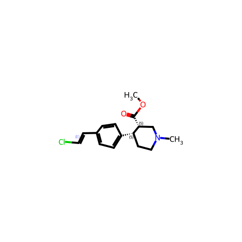 COC(=O)[C@@H]1CN(C)CC[C@@H]1c1ccc(/C=C/Cl)cc1